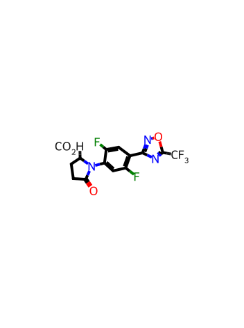 O=C(O)C1CCC(=O)N1c1cc(F)c(-c2noc(C(F)(F)F)n2)cc1F